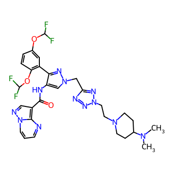 CN(C)C1CCN(CCn2nnc(Cn3cc(NC(=O)c4cnn5cccnc45)c(-c4cc(OC(F)F)ccc4OC(F)F)n3)n2)CC1